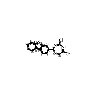 ClC1=NC(Cl)=NC(c2ccc3c(c2)sc2ccccc23)=NC1